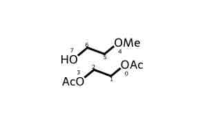 CC(=O)OCCOC(C)=O.COCCO